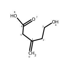 C=C(CCO)CC(=O)O